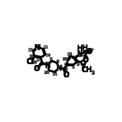 COc1cc(C(=O)N2CCN(C(=O)c3ccncc3Cl)CC2)ccc1N[SH](=O)=O